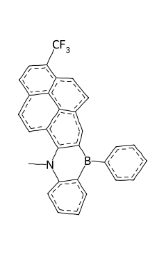 CN1c2ccccc2B(c2ccccc2)c2cc3ccc4c(C(F)(F)F)ccc5ccc(c21)c3c54